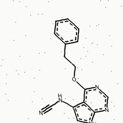 N#CNc1c[nH]c2ncnc(OCCc3ccccc3)c12